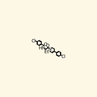 CCC(NC(=O)c1ccc(Cl)cc1)C(=O)N1CC=C(c2ccc(Cl)cc2)CC1